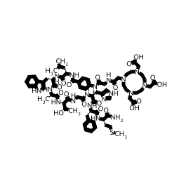 CSCC[C@H](NC(=O)[C@H](Cc1ccccc1)NC(=O)[C@H](Cc1c[nH]cn1)NC(=O)CNC(=O)[C@@H](NC(=O)[C@H](C)NC(=O)[C@H](Cc1c[nH]c2ccccc12)NC(=O)[C@H](CC(C)C)NC(=O)c1ccc(NC(=O)CNC(=O)CN2CCN(CC(=O)O)CCN(CC(=O)O)CCN(CC(=O)O)CC2)cc1)C(C)O)C(N)=O